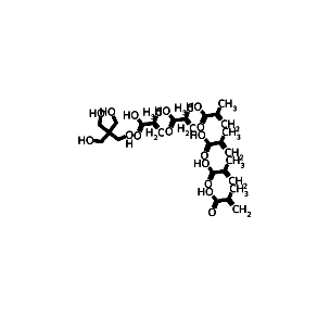 C=C(C)C(=O)O.C=C(C)C(=O)O.C=C(C)C(=O)O.C=C(C)C(=O)O.C=C(C)C(=O)O.C=C(C)C(=O)O.OCC(CO)(CO)CO